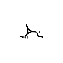 CCNC1C(C)C1NC